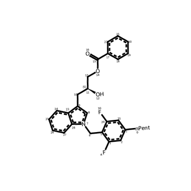 CCCCCc1cc(F)c(Cn2cc(C[C@H](O)COC(=O)c3ccccc3)c3ccccc32)c(F)c1